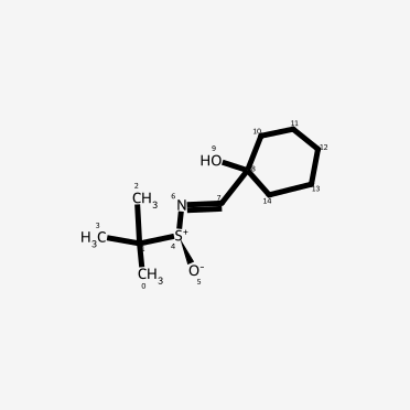 CC(C)(C)[S@+]([O-])N=CC1(O)CCCCC1